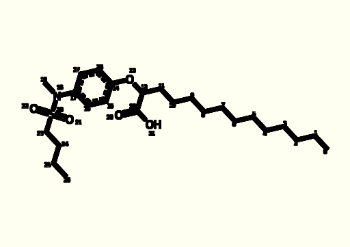 CCCCCCCCCCCCC(Oc1ccc(N(C)S(=O)(=O)CCCC)cc1)C(=O)O